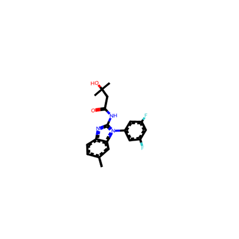 Cc1ccc2nc(NC(=O)CC(C)(C)O)n(-c3cc(F)cc(F)c3)c2c1